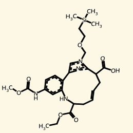 CCOC(=O)C1C/C=C/CC(C(=O)O)c2nc(cn2COCC[Si](C)(C)C)-c2ccc(NC(=O)OC)cc2N1